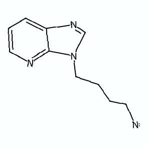 [N]CCCCn1cnc2cccnc21